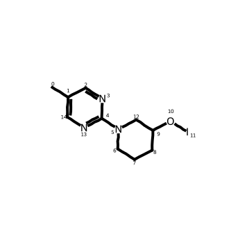 Cc1cnc(N2CCCC(OI)C2)nc1